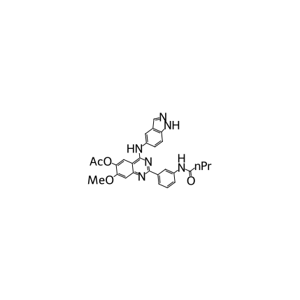 CCCC(=O)Nc1cccc(-c2nc(Nc3ccc4[nH]ncc4c3)c3cc(OC(C)=O)c(OC)cc3n2)c1